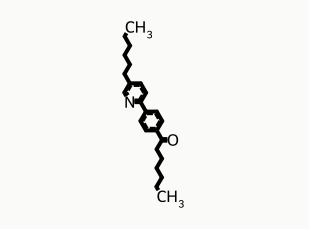 CCCCCCC(=O)c1ccc(-c2ccc(CCCCCC)cn2)cc1